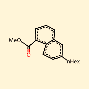 CCCCCCc1ccc2c(C(=O)OC)cccc2c1